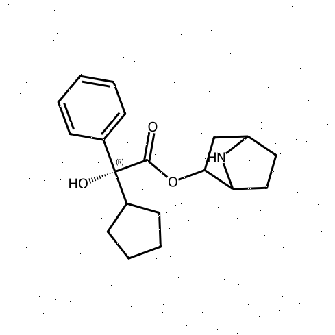 O=C(OC1CC2CCC1N2)[C@](O)(c1ccccc1)C1CCCC1